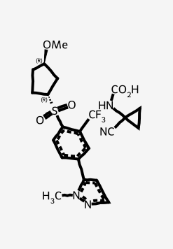 CO[C@@H]1CC[C@@H](S(=O)(=O)c2ccc(-c3ccnn3C)cc2C(F)(F)F)C1.N#CC1(NC(=O)O)CC1